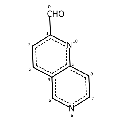 O=Cc1ccc2cnccc2n1